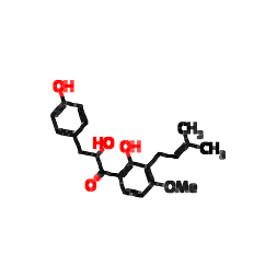 COc1ccc(C(=O)C(O)Cc2ccc(O)cc2)c(O)c1CC=C(C)C